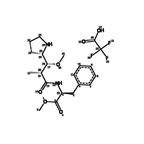 COC(=O)[C@H](Cc1ccccc1)NC(=O)[C@H](C)[C@@H](OC)[C@@H]1CCCN1.O=C(O)C(F)(F)F